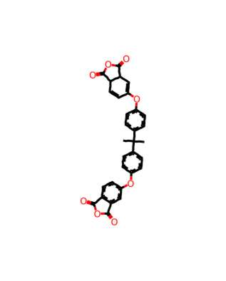 CC(C)(c1ccc(OC2=CC3C(=O)OC(=O)C3C=C2)cc1)c1ccc(Oc2ccc3c(c2)C(=O)OC3=O)cc1